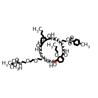 CCCCOC1C2=CCC[C@@H]1C(=O)NCCN(CCOCCOCCNC(=O)OC(C)(C)C)CCNC(=O)[C@@H]1CCC=C(C(=O)NCCN(CCOS(=O)(=O)c3ccc(C)cc3)CCNC2=O)C1OCCCC